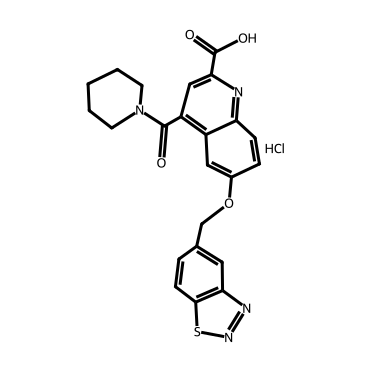 Cl.O=C(O)c1cc(C(=O)N2CCCCC2)c2cc(OCc3ccc4snnc4c3)ccc2n1